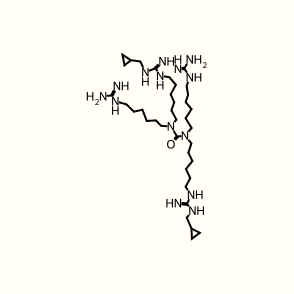 N=C(N)NCCCCCCN(CCCCCCNC(=N)NCC1CC1)C(=O)N(CCCCCCNC(=N)N)CCCCCCNC(=N)NCC1CC1